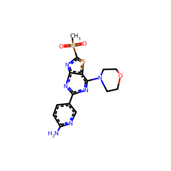 CS(=O)(=O)c1nc2nc(-c3ccc(N)nc3)nc(N3CCOCC3)c2s1